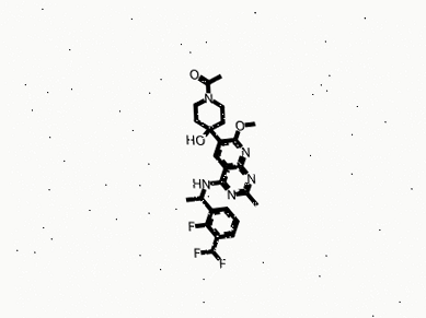 COc1nc2nc(C)nc(NC(C)c3cccc(C(F)F)c3F)c2cc1C1(O)CCN(C(C)=O)CC1